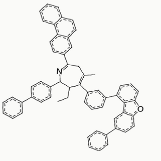 CCC1C(c2cccc(-c3cccc4oc5ccc(-c6ccccc6)cc5c34)c2)=C(C)CC(c2ccc3c(ccc4ccccc43)c2)=NC1c1ccc(-c2ccccc2)cc1